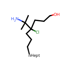 CCCCCCCCCCC(Cl)(CCCO)C(C)(C)N